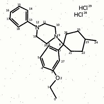 CCOc1cccc(C2(N3CCN(c4ccccc4)CC3)CCC(C)CC2)c1.Cl.Cl